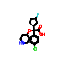 O=C(O)[C@](OC1CCNCC1)(c1ccc(Cl)cc1)[C@@H]1CCC(F)C1